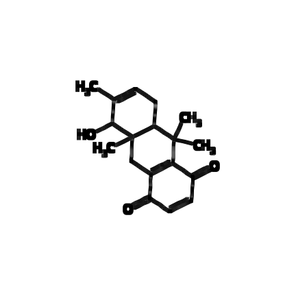 CC1=CCC2C(C)(C)C3=C(CC2(C)C1O)C(=O)C=CC3=O